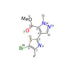 COC(=O)c1c(-c2nc(C)c(Br)s2)cnn1C